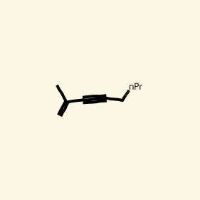 C=C(C)C#CCCCC